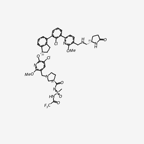 COc1nc(-c2cccc(-c3cccc4c3CC[C@@H]4Oc3nc(OC)c(CN4CC[C@@H](C(=O)N=S(C)(=O)NC(=O)C(F)(F)F)C4)cc3Cl)c2Cl)ccc1CNC[C@@H]1CCC(=O)N1